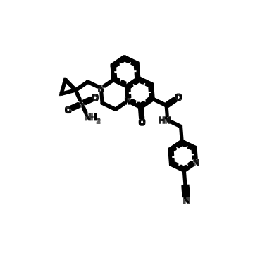 N#Cc1ccc(CNC(=O)c2cc3cccc4c3n(c2=O)CCN4CC2(S(N)(=O)=O)CC2)cn1